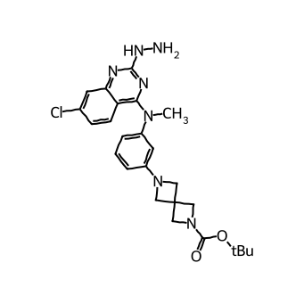 CN(c1cccc(N2CC3(CN(C(=O)OC(C)(C)C)C3)C2)c1)c1nc(NN)nc2cc(Cl)ccc12